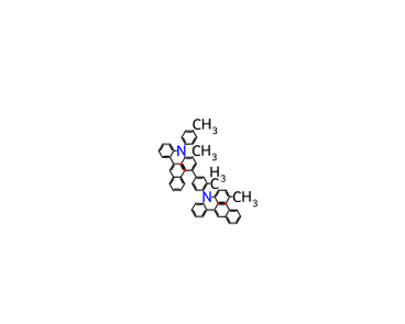 Cc1ccc(N(c2ccc(-c3ccc(N(c4ccc(C)cc4)c4ccccc4-c4ccc5ccccc5c4)c(C)c3)cc2C)c2ccccc2-c2ccc3ccccc3c2)cc1